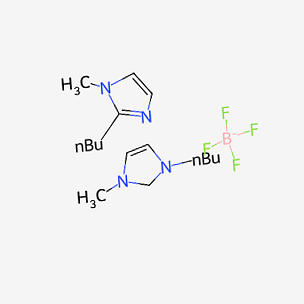 CCCCN1C=CN(C)C1.CCCCc1nccn1C.F[B-](F)(F)F